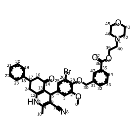 COc1cc(C2C(C#N)=C(C)NC3=C2C(=O)CC(c2ccccc2)C3)cc(Br)c1OCc1cccc(C(=O)OCCN2CCOCC2)c1